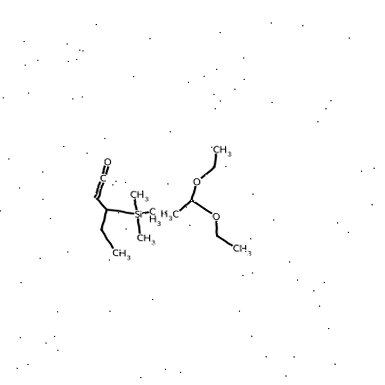 CCC(C=C=O)[Si](C)(C)C.CCOC(C)OCC